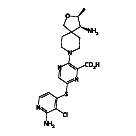 C[C@@H]1OCC2(CCN(c3ncc(Sc4ccnc(N)c4Cl)nc3C(=O)O)CC2)[C@@H]1N